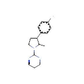 CC1C(c2ccc(C(C)(C)C)cc2)CCN1C1N=CCCN1